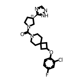 O=C(N1CCC2(CC1)CC(Oc1ccc(F)cc1Cl)C2)N1CC[C@@H](c2ncn[nH]2)C1